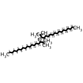 CCCCCCCCCCCCCCCC(OC(CCCCCCCCCCCCCCC)C(C)C)C(C)C